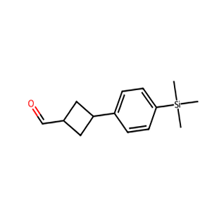 C[Si](C)(C)c1ccc(C2CC(C=O)C2)cc1